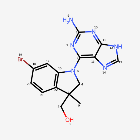 CC1(CO)CN(c2nc(N)nc3[nH]cnc23)c2cc(Br)ccc21